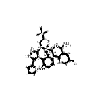 COc1cccc(OC)c1-n1c(-c2ccco2)nnc1N(CC[Si](C)(C)C)S(=O)(=O)[C@@H](C)Cc1ncc(Cl)cc1C(N)=O